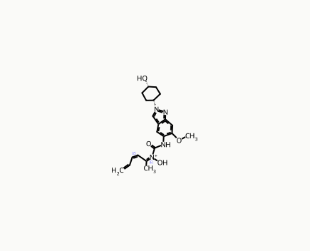 C=C/C=C\C(C)=[N+](\O)C(=O)Nc1cc2cn([C@H]3CC[C@@H](O)CC3)nc2cc1OC